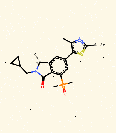 CC(=O)Nc1nc(C)c(-c2cc3c(c(P(C)(C)=O)c2)C(=O)N(CC2CC2)[C@@H]3C)s1